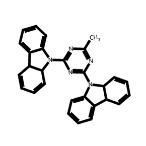 Cc1nc(N2c3ccccc3C3C=CC=CC32)nc(N2c3ccccc3C3C=CC=CC32)n1